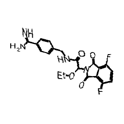 CCOC(C(=O)NCc1ccc(C(=N)N)cc1)N1C(=O)c2c(F)ccc(F)c2C1=O